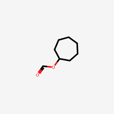 O=CO[C]1CCCCCC1